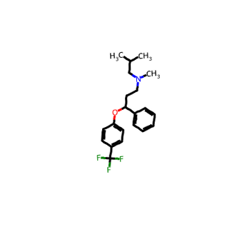 CC(C)CN(C)CCC(Oc1ccc(C(F)(F)F)cc1)c1ccccc1